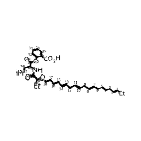 CCC=CCC=CCC=CCC=CCC=CCCCCOC(CC)C(=O)NC(CC(C)C)C(=O)Oc1ccccc1C(=O)O